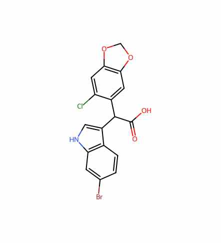 O=C(O)C(c1cc2c(cc1Cl)OCO2)c1c[nH]c2cc(Br)ccc12